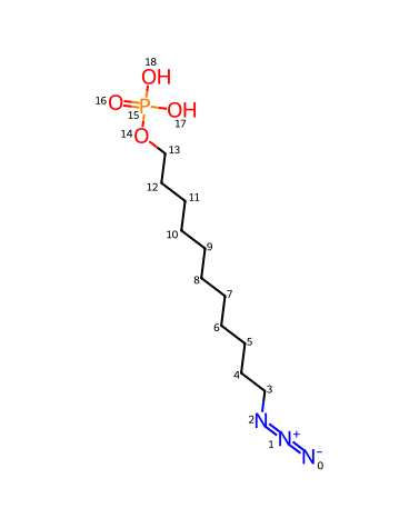 [N-]=[N+]=NCCCCCCCCCCCOP(=O)(O)O